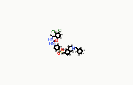 C[C@H](NC(=O)Nc1ccc(S(=O)(=O)Cc2ccc3c(c2)CCN(Cc2ccccc2)C3)cc1)c1cccc(Cl)c1Cl